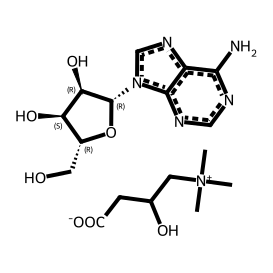 C[N+](C)(C)CC(O)CC(=O)[O-].Nc1ncnc2c1ncn2[C@@H]1O[C@H](CO)[C@@H](O)[C@H]1O